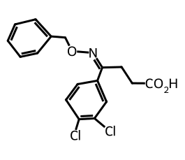 O=C(O)CCC(=NOCc1ccccc1)c1ccc(Cl)c(Cl)c1